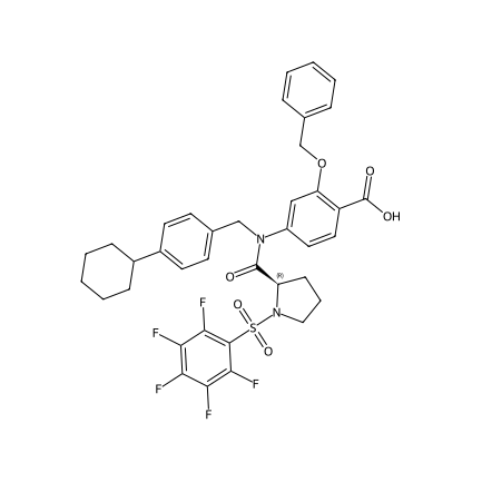 O=C(O)c1ccc(N(Cc2ccc(C3CCCCC3)cc2)C(=O)[C@H]2CCCN2S(=O)(=O)c2c(F)c(F)c(F)c(F)c2F)cc1OCc1ccccc1